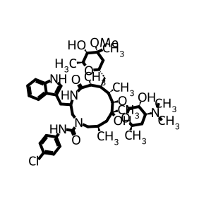 CO[C@]1(C)C[C@H](C[C@H]2[C@H](C)[C@@H](O[C@@H]3O[C@H](C)C[C@H](N(C)C)[C@H]3O)[C@](C)(O)C[C@@H](C)CN(C(=O)Nc3ccc(Cl)cc3)CC(Cc3c[nH]c4ccccc34)NC(=O)[C@@H]2C)O[C@@H](C)[C@@H]1O